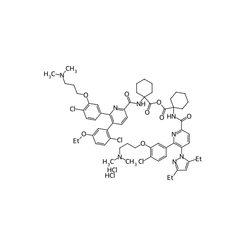 CCOc1ccc(Cl)c(-c2ccc(C(=O)NC3(C(=O)OC(=O)C4(NC(=O)c5ccc(-n6nc(CC)cc6CC)c(-c6ccc(Cl)c(OCCCN(C)C)c6)n5)CCCCC4)CCCCC3)nc2-c2ccc(Cl)c(OCCCN(C)C)c2)c1.Cl.Cl